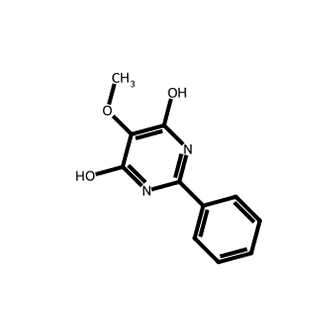 COc1c(O)nc(-c2ccccc2)nc1O